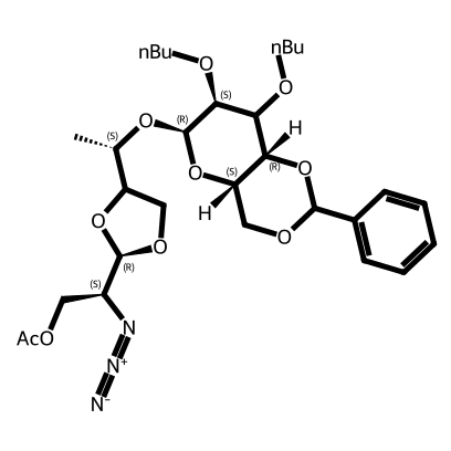 CCCCOC1[C@H](OCCCC)[C@H](O[C@@H](C)C2CO[C@@H]([C@H](COC(C)=O)N=[N+]=[N-])O2)O[C@H]2COC(c3ccccc3)O[C@@H]12